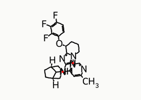 Cc1cc(N2C[C@H]3CC[C@@H](C2)C3Nc2nc3n(n2)CCC[C@@H]3Oc2ccc(F)c(F)c2F)ncn1